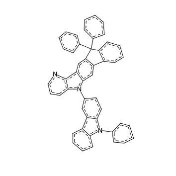 c1ccc(-n2c3ccccc3c3cc(-n4c5cc6c(cc5c5ncccc54)C(c4ccccc4)(c4ccccc4)c4ccccc4-6)ccc32)cc1